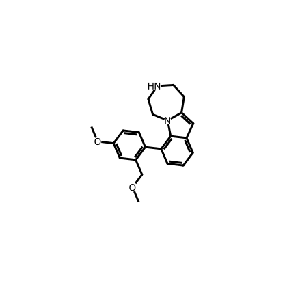 COCc1cc(OC)ccc1-c1cccc2cc3n(c12)CCNCC3